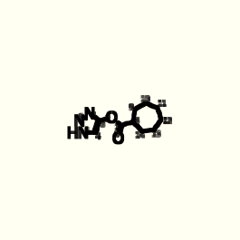 O=C(Oc1c[nH]nn1)C1CCCCCC1